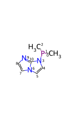 CP(C)n1ccn2ccnc12